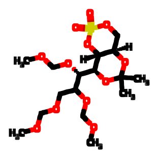 COCOCC(OCOC)[C@H](OCOC)[C@@H]1OC(C)(C)O[C@@H]2COS(=O)(=O)O[C@@H]12